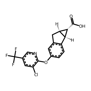 O=C(O)[C@H]1[C@@H]2Cc3cc(Oc4ncc(C(F)(F)F)cc4Cl)ccc3[C@@H]21